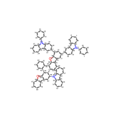 c1ccc(-n2c3ccccc3c3cc(-c4cc(-c5ccc6c(c5)c5ccccc5n6-c5ccccc5)c5oc6c(-c7ccccc7-c7cc(-n8c9ccccc9c9ccccc98)cc8c7oc7ccccc78)cccc6c5c4)ccc32)cc1